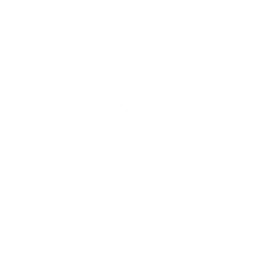 CCCCCCCCCCCC(C(=O)O)C(=O)O.[CaH2]